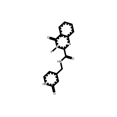 O=C(NCc1cc[nH]c(=O)c1)c1nc2ccccc2c(=O)n1F